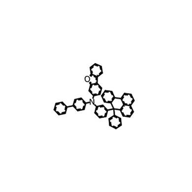 c1ccc(-c2ccc(N(c3cccc(C4(c5ccccc5)c5ccccc5-c5cccc6cccc4c56)c3)c3ccc4c(c3)oc3ccccc34)cc2)cc1